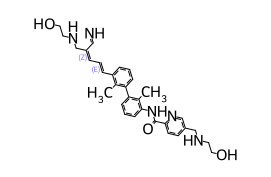 Cc1c(/C=C/C=C(\C=N)CNCCO)cccc1-c1cccc(NC(=O)c2ccc(CNCCO)cn2)c1C